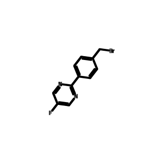 Fc1cnc(-c2ccc(CBr)cc2)nc1